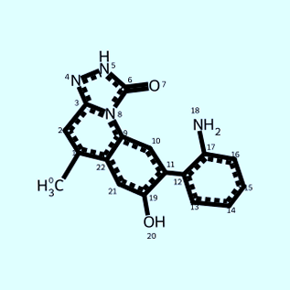 Cc1cc2n[nH]c(=O)n2c2cc(-c3ccccc3N)c(O)cc12